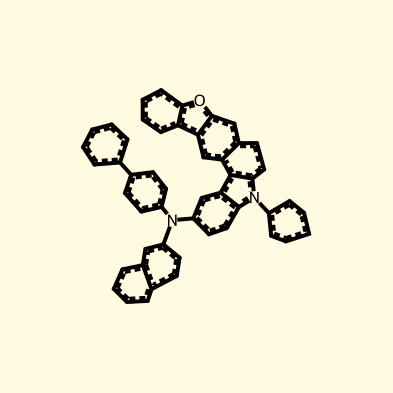 c1ccc(-c2ccc(N(c3ccc4ccccc4c3)c3ccc4c(c3)c3c5cc6c(cc5ccc3n4-c3ccccc3)oc3ccccc36)cc2)cc1